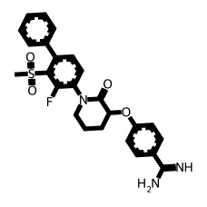 CS(=O)(=O)c1c(-c2ccccc2)ccc(N2CCCC(Oc3ccc(C(=N)N)cc3)C2=O)c1F